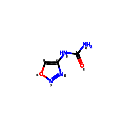 NC(=O)Nc1conn1